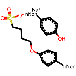 CCCCCCCCCc1ccc(O)cc1.CCCCCCCCCc1ccc(OCCCCS(=O)(=O)[O-])cc1.[Na+]